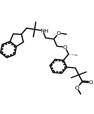 COC(=O)C(C)(C)Cc1ccccc1[C@@H](C)OCC(CNC(C)(C)CC1Cc2ccccc2C1)OC